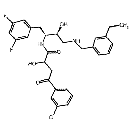 CCc1cccc(CNC[C@H](O)[C@H](Cc2cc(F)cc(F)c2)NC(=O)C(O)CC(=O)c2cccc(Cl)c2)c1